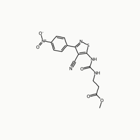 COC(=O)CCNC(=O)Nc1snc(-c2ccc([N+](=O)[O-])cc2)c1C#N